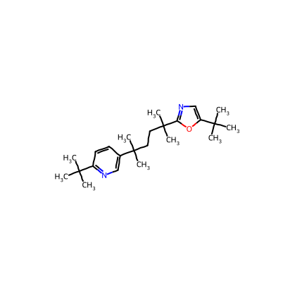 CC(C)(C)c1ccc(C(C)(C)CCC(C)(C)c2ncc(C(C)(C)C)o2)cn1